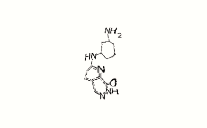 NC1CCCC(Nc2ccc3cn[nH]c(=O)c3n2)C1